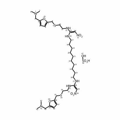 CN(C)Cc1ccc(CSCCNC(=C[N+](=O)[O-])NCCCCCCCCCCNC(=C[N+](=O)[O-])NCCSCc2ccc(CN(C)C)o2)o1.O=S(=O)(O)O